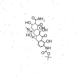 C[C@H]1c2ccc(NC(=O)OC(C)(C)C)c(O)c2C(=O)C2=C(O)[C@]3(O)C(=O)C(C(N)=O)C(O)[C@@H](N(C)C)[C@@H]3[C@@H](O)[C@@H]21